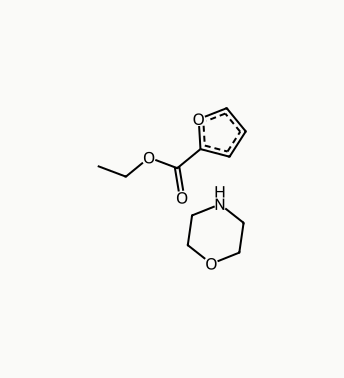 C1COCCN1.CCOC(=O)c1ccco1